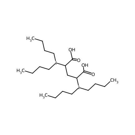 CCCCI(CCCC)C(CC(C(=O)O)I(CCCC)CCCC)C(=O)O